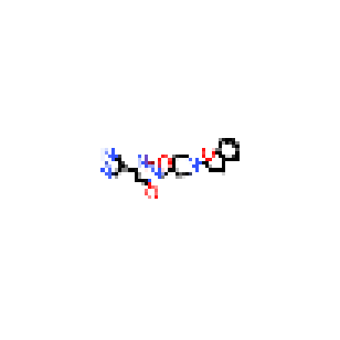 C[C@H](CC(=O)N1CCC(O)(Cn2cnc(-c3cncnc3)cc2=O)CC1)c1ccccc1